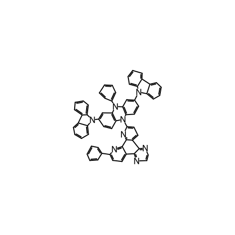 c1ccc(-c2ccc3c4nccnc4c4ccc(N5c6ccc(-n7c8ccccc8c8ccccc87)cc6N(c6ccccc6)c6cc(-n7c8ccccc8c8ccccc87)ccc65)nc4c3n2)cc1